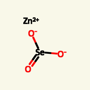 O=[Se]([O-])[O-].[Zn+2]